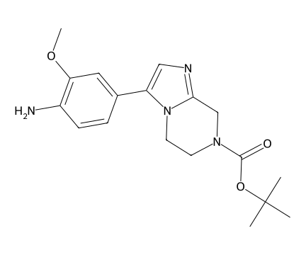 COc1cc(-c2cnc3n2CCN(C(=O)OC(C)(C)C)C3)ccc1N